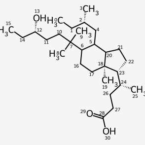 CC[C@H](C)CC1C(C(C)(C)CC[C@@H](O)CC)CC[C@@]2(C)C1CC[C@@H]2[C@H](C)CCC(=O)O